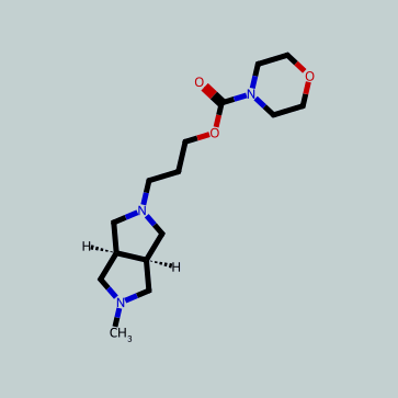 CN1C[C@@H]2CN(CCCOC(=O)N3CCOCC3)C[C@@H]2C1